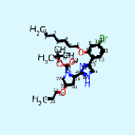 C=CCCCCCOc1cc(Br)ccc1-c1c[nH]c(C2CC(OCC=C)CN2C(=O)OC(C)(C)C)n1